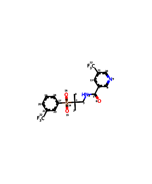 CC(C)(CNC(=O)c1cncc(C(F)(F)F)c1)S(=O)(=O)c1cccc(C(F)(F)F)c1